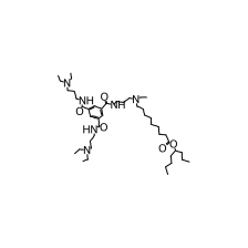 CCCCC(CCC)OC(=O)CCCCCCCCN(CC)CCCNC(=O)c1cc(C(=O)NCCCN(CC)CC)cc(C(=O)NCCCN(CC)CC)c1